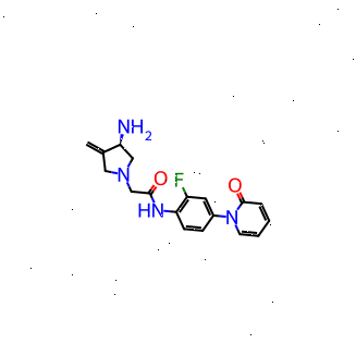 C=C1CN(CC(=O)Nc2ccc(-n3ccccc3=O)cc2F)C[C@@H]1N